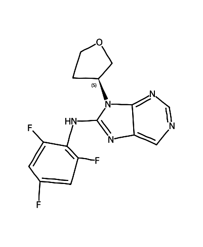 Fc1cc(F)c(Nc2nc3cncnc3n2[C@H]2CCOC2)c(F)c1